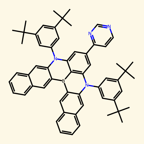 CC(C)(C)c1cc(N2c3cc4ccccc4cc3B3c4cc5ccccc5cc4N(c4cc(C(C)(C)C)cc(C(C)(C)C)c4)c4cc(-c5ccncn5)cc2c43)cc(C(C)(C)C)c1